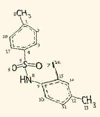 Cc1ccc(S(=O)(=O)Nc2ccc(C)cc2I)cc1